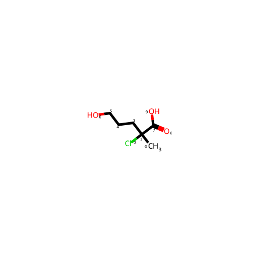 CC(Cl)(CCCO)C(=O)O